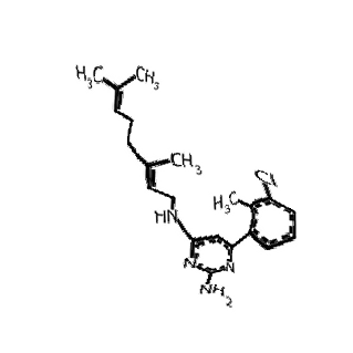 CC(C)=CCC/C(C)=C/CNc1cc(-c2cccc(Cl)c2C)nc(N)n1